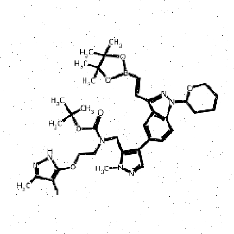 Cc1n[nH]c(OCCN(Cc2c(-c3ccc4c(c3)c(/C=C/B3OC(C)(C)C(C)(C)O3)nn4C3CCCCO3)cnn2C)C(=O)OC(C)(C)C)c1I